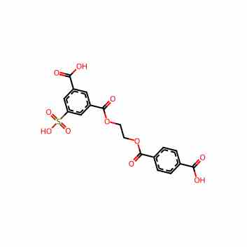 O=C(O)c1ccc(C(=O)OCCOC(=O)c2cc(C(=O)O)cc(S(=O)(=O)O)c2)cc1